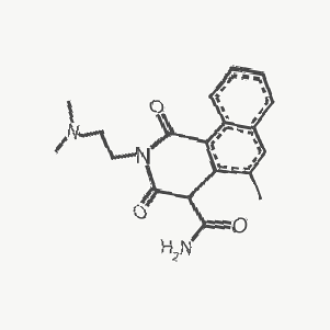 Cc1cc2ccccc2c2c1C(C(N)=O)C(=O)N(CCN(C)C)C2=O